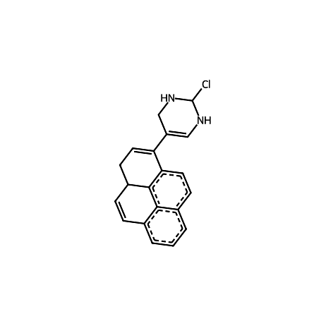 ClC1NC=C(C2=CCC3C=Cc4cccc5ccc2c3c45)CN1